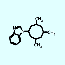 CC1CC(C)CC(n2cnc3ccccc32)CC(C)C1